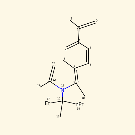 C=C(C)C(=C)/C=C\C(C)=C(/C)N(C(=C)C)C(C)(CC)CCC